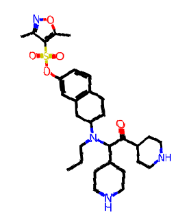 CCCN(C1CCc2ccc(OS(=O)(=O)c3c(C)noc3C)cc2C1)C(C(=O)C1CCNCC1)C1CCNCC1